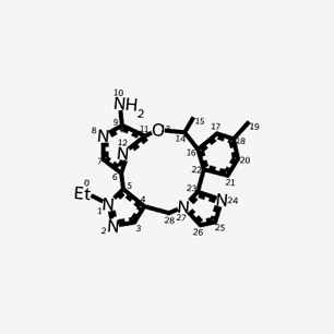 CCn1ncc2c1-c1cnc(N)c(n1)OC(C)c1cc(C)ccc1-c1nccn1C2